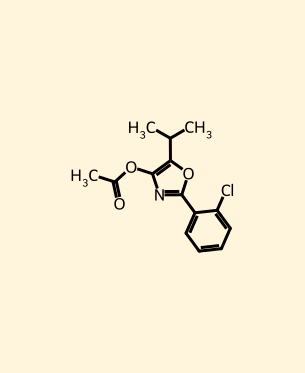 CC(=O)Oc1nc(-c2ccccc2Cl)oc1C(C)C